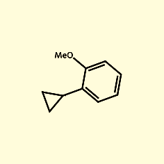 COc1ccccc1[C]1CC1